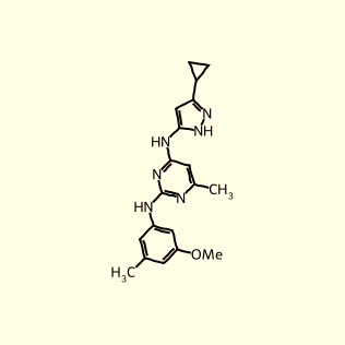 COc1cc(C)cc(Nc2nc(C)cc(Nc3cc(C4CC4)n[nH]3)n2)c1